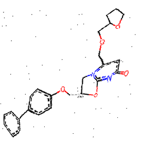 O=c1cc(COCC2CCCO2)n2c(n1)O[C@H](COc1ccc(-c3ccccc3)cc1)C2